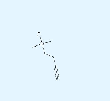 C#CCC[Si](C)(C)F